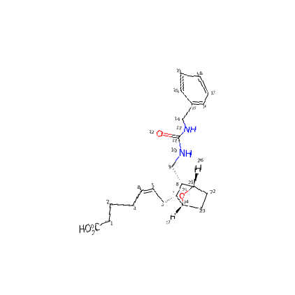 O=C(O)CCC/C=C\C[C@@H]1[C@H](CNC(=O)NCc2ccccc2)[C@@H]2CC[C@H]1O2